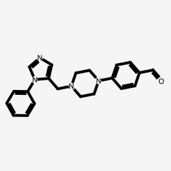 O=[C]c1ccc(N2CCN(Cc3cncn3-c3ccccc3)CC2)cc1